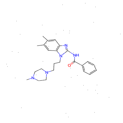 Cc1cc2nc(NC(=O)c3ccccc3)n(CCCN3CCN(C)CC3)c2cc1C